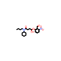 CCCCN(C(=O)CCC(O)Oc1cccc([N+](=O)[O-])c1C=O)C1CCCCC1